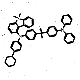 CC(C)(c1ccc(N(c2ccccc2)c2ccccc2)cc1)c1ccc(N(c2ccc(C3CCCCC3)cc2)c2cccc3c2-c2ccccc2[Si]3(C)C)cc1